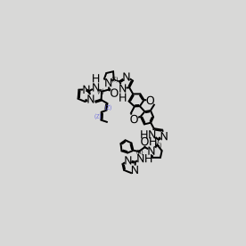 C=C(/C=C\C=C/C)[C@@H](Nc1ncccn1)C(=O)N1CCC[C@H]1c1ncc(-c2cc3c4c(c2)OCc2cc(-c5cnc([C@@H]6CCCN6C(O)[C@H](Nc6ncccn6)c6ccccc6)[nH]5)cc(c2-4)OC3)[nH]1